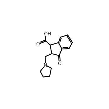 O=C1c2ccccc2C(C(=O)O)C1CN1CCCC1